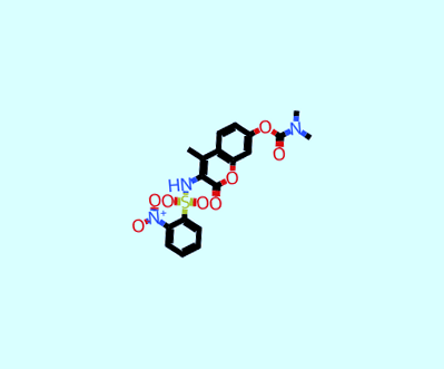 Cc1c(NS(=O)(=O)c2ccccc2[N+](=O)[O-])c(=O)oc2cc(OC(=O)N(C)C)ccc12